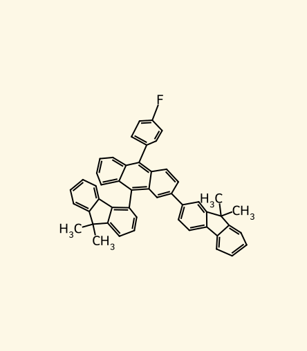 CC1(C)c2ccccc2-c2ccc(-c3ccc4c(-c5ccc(F)cc5)c5ccccc5c(-c5cccc6c5-c5ccccc5C6(C)C)c4c3)cc21